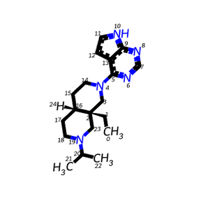 CC[C@]12CN(c3ncnc4[nH]ccc34)CC[C@H]1CCN(C(C)C)C2